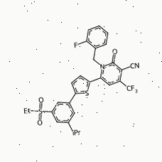 CCS(=O)(=O)c1cc(-c2ccc(-c3cc(C(F)(F)F)c(C#N)c(=O)n3Cc3ccccc3F)s2)cc(C(C)C)c1